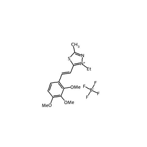 CC[n+]1nc(C)sc1C=Cc1ccc(OC)c(OC)c1OC.F[B-](F)(F)F